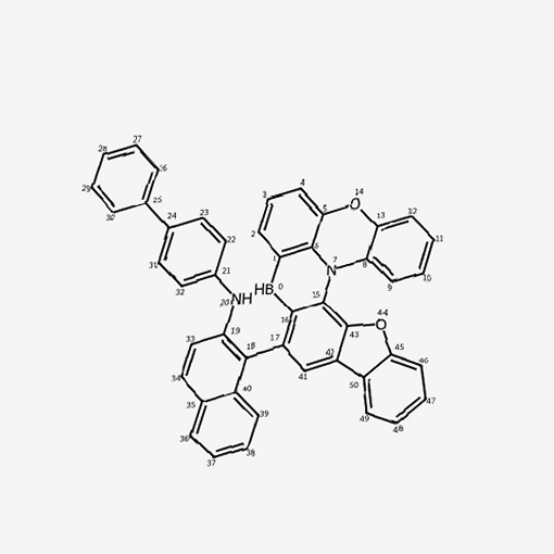 B1c2cccc3c2N(c2ccccc2O3)c2c1c(-c1c(Nc3ccc(-c4ccccc4)cc3)ccc3ccccc13)cc1c2oc2ccccc21